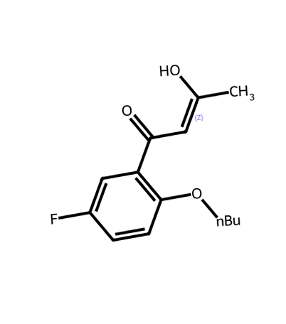 CCCCOc1ccc(F)cc1C(=O)/C=C(/C)O